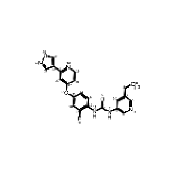 O=C(Nc1cncc(CC(F)(F)F)c1)Nc1ccc(Oc2ccnc(-c3cnoc3)c2)cc1F